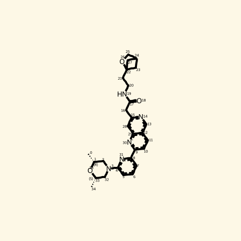 C[C@@H]1CN(c2cccc(-c3ccc4cnc(CC(=O)NCCC56CC(CO5)C6)cc4n3)n2)C[C@H](C)O1